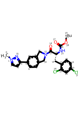 Cn1ccc(-c2ccc3c(c2)CN(C(=O)[C@@H](Cc2ccc(Cl)cc2Cl)NC(=O)OC(C)(C)C)C3)n1